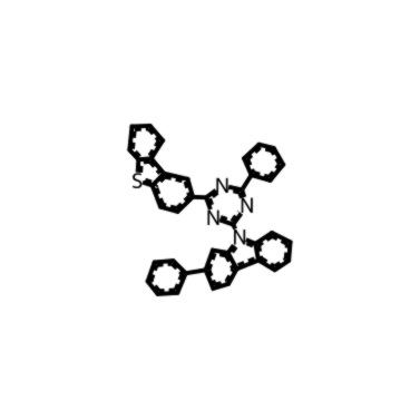 c1ccc(-c2ccc3c4ccccc4n(-c4nc(-c5ccccc5)nc(-c5ccc6sc7ccccc7c6c5)n4)c3c2)cc1